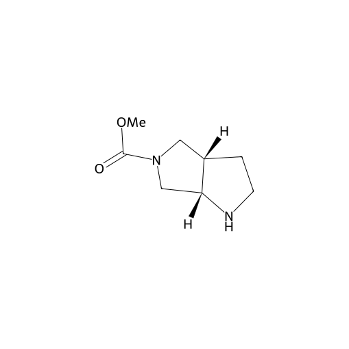 COC(=O)N1C[C@@H]2CCN[C@@H]2C1